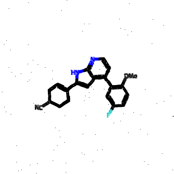 COc1ccc(F)cc1-c1ccnc2[nH]c(C3=CCC(C#N)CC3)cc12